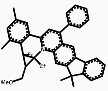 CCC12c3c(C)cc(C)cc3-c3cc(-c4ccccc4)c4cc5c(cc4[n+]3C1(CC)C2COC)C(C)(C)c1ccccc1-5